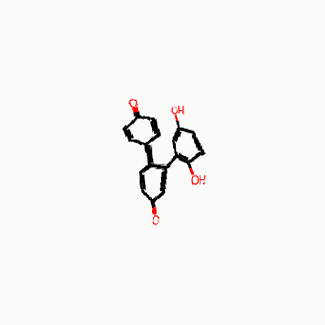 O=C1C=CC(=C2C=CC(=O)C=C2c2cc(O)ccc2O)C=C1